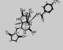 Cc1ccc(C(=O)N[C@H]2CN3C(=N)N[C@@H](CN4C(=O)CCC4=O)[C@@H]4NC(=N)N[C@@]43C2(O)O)cc1